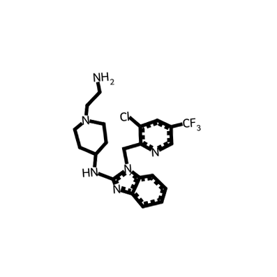 NCCN1CCC(Nc2nc3ccccc3n2Cc2ncc(C(F)(F)F)cc2Cl)CC1